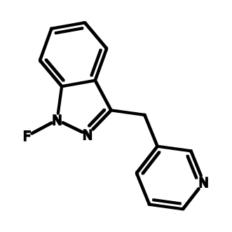 Fn1nc(Cc2cccnc2)c2ccccc21